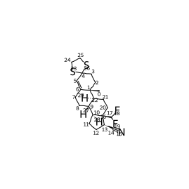 C[C@]12CCC3(C=C1CC[C@H]1[C@@H]4CC[C@H](C#N)[C@@]4(C(F)F)CC[C@@H]12)SCCS3